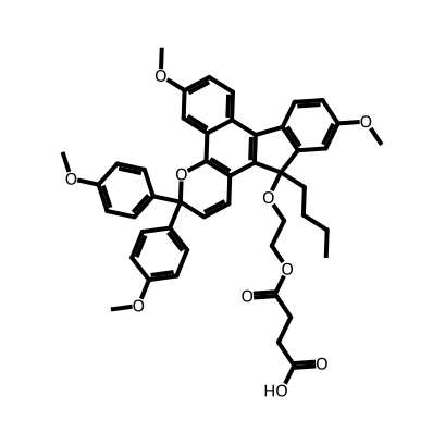 CCCCC1(OCCOC(=O)CCC(=O)O)c2cc(OC)ccc2-c2c1c1c(c3cc(OC)ccc23)OC(c2ccc(OC)cc2)(c2ccc(OC)cc2)C=C1